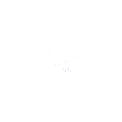 FC(F)(F)OCCOc1nnc([C@H]2CCCCO2)o1